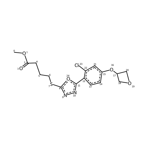 COC(=O)CCCSc1nnc(-c2ccc(OC3COC3)cc2Cl)o1